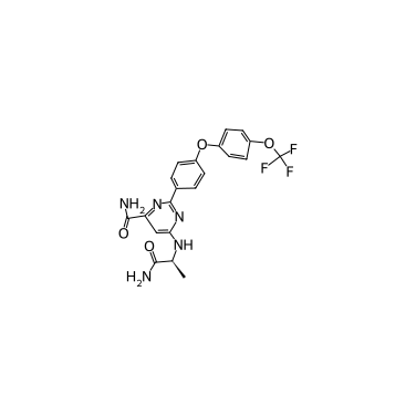 C[C@H](Nc1cc(C(N)=O)nc(-c2ccc(Oc3ccc(OC(F)(F)F)cc3)cc2)n1)C(N)=O